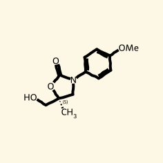 COc1ccc(N2C[C@@](C)(CO)OC2=O)cc1